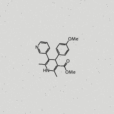 COC(=O)C1=C(C)NC(C)=C(c2cccnc2)C1c1ccc(OC)cc1